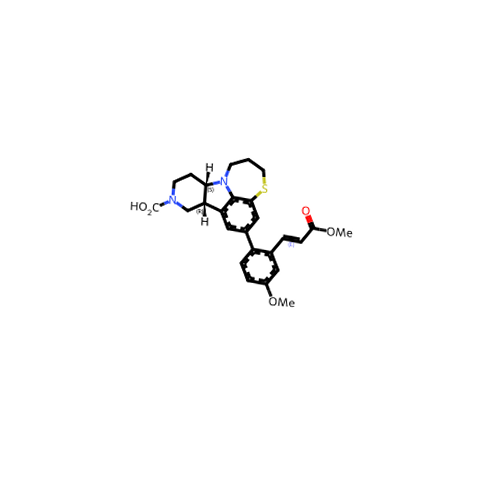 COC(=O)/C=C/c1cc(OC)ccc1-c1cc2c3c(c1)[C@@H]1CN(C(=O)O)CC[C@@H]1N3CCCS2